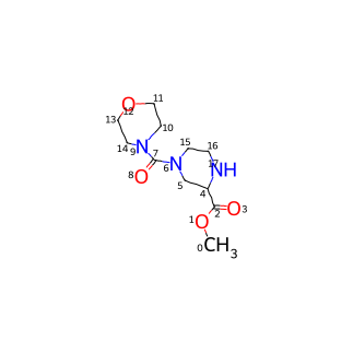 COC(=O)C1CN(C(=O)N2CCOCC2)CCN1